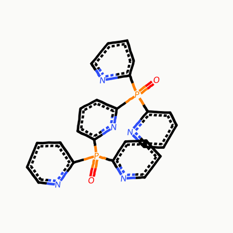 O=P(c1ccccn1)(c1ccccn1)c1cccc(P(=O)(c2ccccn2)c2ccccn2)n1